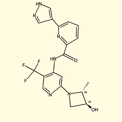 C[C@@H]1[C@@H](O)CN1c1cc(NC(=O)c2cccc(-c3cn[nH]c3)n2)c(C(F)(F)F)cn1